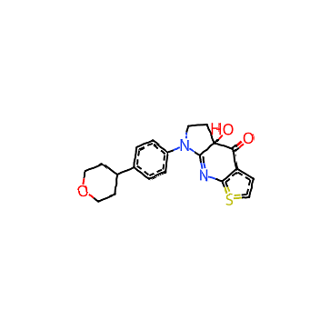 O=C1c2ccsc2N=C2N(c3ccc(C4CCOCC4)cc3)CCC12O